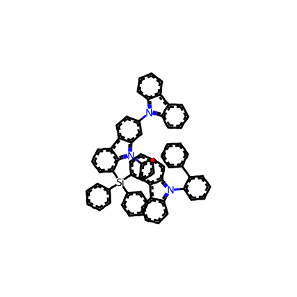 c1ccc(-c2ccccc2-n2c3ccccc3c3cc(-n4c5cc(-n6c7ccccc7c7ccccc76)ccc5c5cccc([Si](c6ccccc6)(c6ccccc6)c6ccccc6)c54)ccc32)cc1